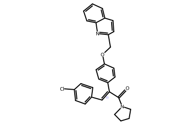 O=C(/C(=C/c1ccc(Cl)cc1)c1ccc(OCc2ccc3ccccc3n2)cc1)N1CCCC1